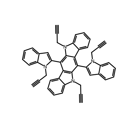 C#CCn1c(-c2c3c4ccccc4n(CC#C)c3c(-c3cc4ccccc4n3CC#C)c3c4ccccc4n(CC#C)c23)cc2ccccc21